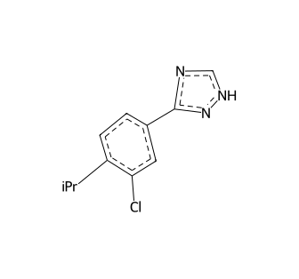 CC(C)c1ccc(-c2nc[nH]n2)cc1Cl